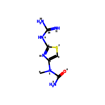 CN(C(N)=O)c1csc(NC(=N)N)n1